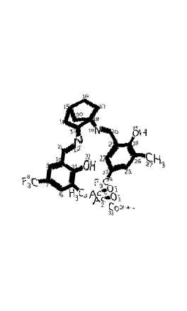 CC(=O)[O-].CC(=O)[O-].Cc1cc(C(F)(F)F)cc(C=NC2CC3CCC2(N=Cc2cc(C(F)(F)F)cc(C)c2O)C3)c1O.[Co+2]